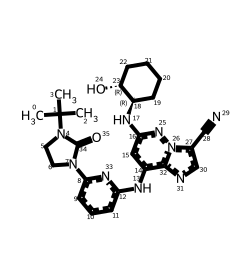 CC(C)(C)N1CCN(c2cccc(Nc3cc(N[C@@H]4CCCC[C@H]4O)nn4c(C#N)cnc34)n2)C1=O